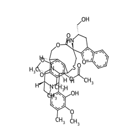 COc1c(C)cc2c(c1O)[C@@H]1[C@@H]3[C@@H]4SC[C@]5(N[C@H](CO)Cc6c5oc5ccccc65)C(=O)OC[C@@H](c5c6c(c(C)c(OC(C)=O)c54)OCO6)N3[C@@H](C)[C@@H](C2)N1C